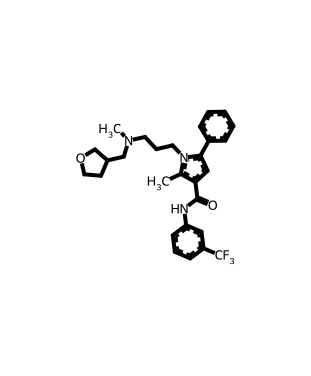 Cc1c(C(=O)Nc2cccc(C(F)(F)F)c2)cc(-c2ccccc2)n1CCCN(C)CC1CCOC1